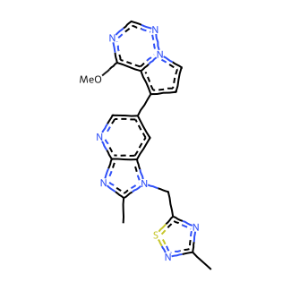 COc1ncnn2ccc(-c3cnc4nc(C)n(Cc5nc(C)ns5)c4c3)c12